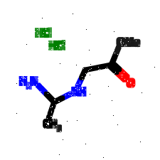 COC(=O)CNC(C)N.Cl.Cl